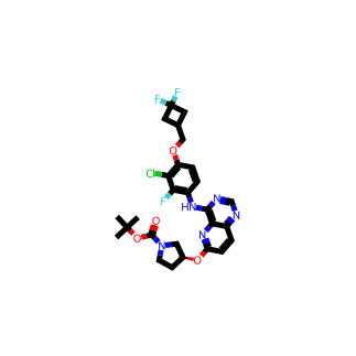 CC(C)(C)OC(=O)N1CC[C@H](Oc2ccc3ncnc(Nc4ccc(OCC5CC(F)(F)C5)c(Cl)c4F)c3n2)C1